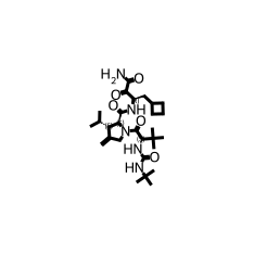 C=C1CN(C(=O)[C@@H](NC(=O)NC(C)(C)C)C(C)(C)C)[C@H](C(=O)N[C@H](CC2CCC2)C(=O)C(N)=O)[C@H]1C(C)C